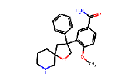 COc1ccc(C(N)=O)cc1C1(c2ccccc2)COC2(CCCNC2)C1